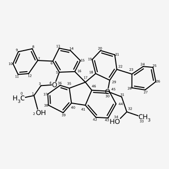 CC(O)COc1c(-c2ccccc2)cccc1C1(c2cccc(-c3ccccc3)c2OCC(C)O)c2ccccc2-c2ccccc21